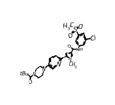 Cn1cc(C(=O)Nc2cc(Cl)cc(S(C)(=O)=O)c2)cc1-c1ccc(N2CCN(C(=O)C(C)(C)C)CC2)cn1